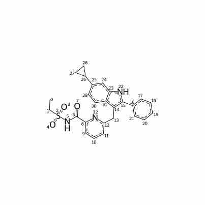 CCS(=O)(=O)NC(=O)c1cccc(Cc2c(-c3ccccc3)[nH]c3cc(C4CC4)ccc23)n1